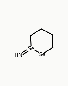 N=[Se]1CCCC[Se]1